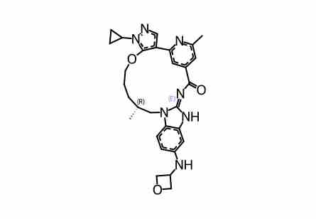 Cc1cc2cc(n1)-c1cnn(C3CC3)c1OCCC[C@@H](C)CN1/C(=N/C2=O)Nc2cc(NC3COC3)ccc21